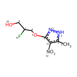 Cc1[nH]nc(OCC(F)CO)c1[N+](=O)[O-]